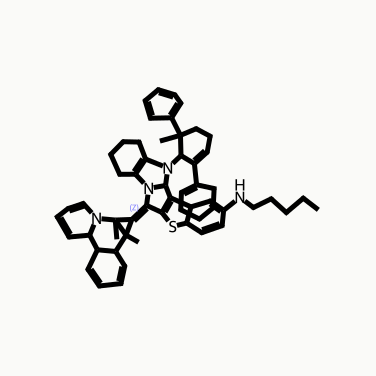 CCCCCNC1=CC2C3=C(SC2C=C1)/C(=C1\C2(C)C4C=CC=CC4C4C=CC=CN4C12C)N1C2=C(CCCC2)N(C2C(C4=CCCCC4)=CCCC2(C)c2ccccc2)C31